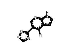 Clc1c(-c2ncno2)cnc2[nH]ccc12